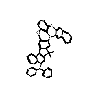 CC1(C)c2cc3c(cc2-c2c1cc(N(c1ccccc1)c1ccccc1)c1ccccc21)Oc1cccc2c1B3c1cc3ccccc3cc1O2